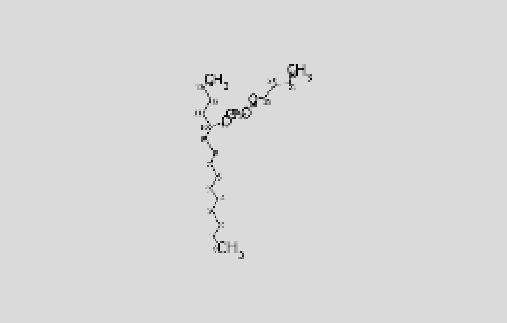 CCCCCCCCCCC(CCCC)OOOOCCCC